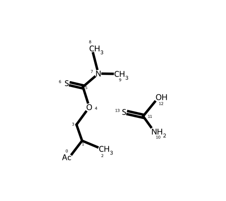 CC(=O)C(C)COC(=S)N(C)C.NC(O)=S